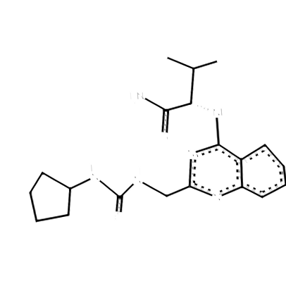 CC(C)[C@H](Nc1nc(CNC(=O)NC2CCCC2)nc2ccccc12)C(N)=O